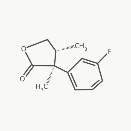 C[C@H]1COC(=O)[C@]1(C)c1cccc(F)c1